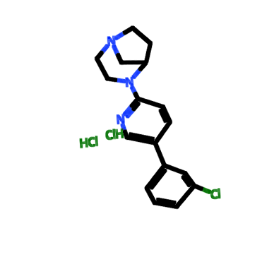 Cl.Cl.Clc1cccc(-c2ccc(N3CCN4CCC3C4)nc2)c1